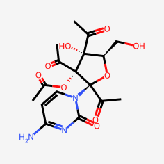 CC(=O)O[C@]1(C(C)=O)[C@@](O)(C(C)=O)[C@@H](CO)O[C@@]1(C(C)=O)n1ccc(N)nc1=O